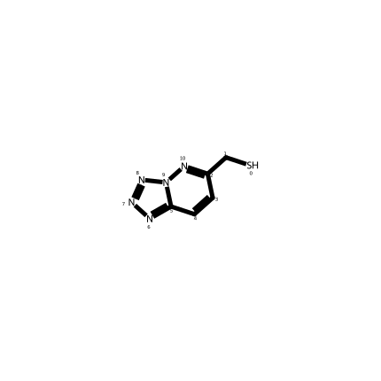 SCc1ccc2nnnn2n1